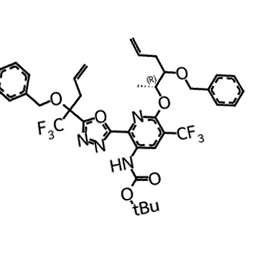 C=CCC(OCc1ccccc1)[C@@H](C)Oc1nc(-c2nnc(C(CC=C)(OCc3ccccc3)C(F)(F)F)o2)c(NC(=O)OC(C)(C)C)cc1C(F)(F)F